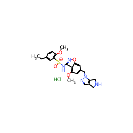 CCc1ccc(OC)c(S(=O)(=O)Nc2noc3cc(Cn4ncc5c4CNC5)cc(OC)c23)c1.Cl